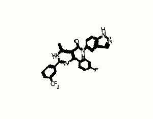 CC1=C(C(=O)Nc2ccc3[nH]ncc3c2)C(c2ccc(F)cc2)N=C(c2cccc(C(F)(F)F)c2)N1